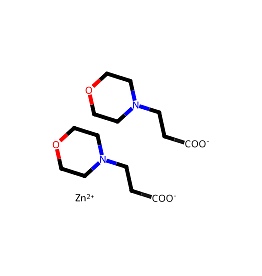 O=C([O-])CCN1CCOCC1.O=C([O-])CCN1CCOCC1.[Zn+2]